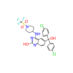 O=S(=O)(N1CCC(Nc2nc(O)nc3ccc(C(O)(c4ccc(Cl)cc4)c4ccc(Cl)cc4)cc23)CC1)C(F)(F)F